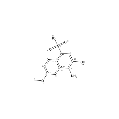 COc1ccc2c(S(=O)(=O)O)cc(O)c(N)c2c1